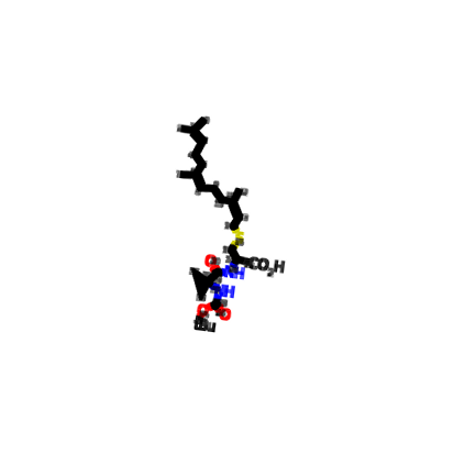 CC(C)=CCCC(C)=CCCC(C)=CCSCC(NC(=O)C1(NC(=O)OC(C)(C)C)CC1)C(=O)O